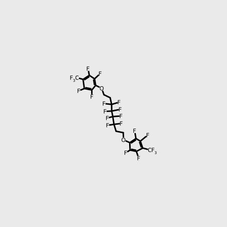 Fc1c(F)c(C(F)(F)F)c(F)c(F)c1OCCC(F)(F)C(F)(F)C(F)(F)C(F)(F)CCOc1c(F)c(F)c(C(F)(F)F)c(F)c1F